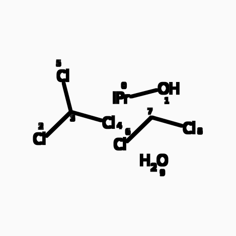 CC(C)O.ClC(Cl)Cl.ClCCl.O